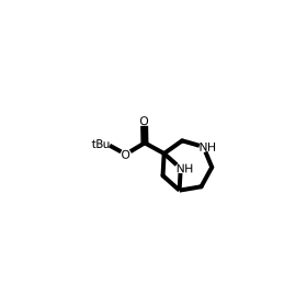 CC(C)(C)OC(=O)C12CNCCC(C1)N2